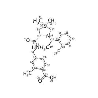 Cc1cc(CNC(=O)[C@@H]2C[Si](C)(C)CN2[C@H](C)c2ccccc2F)ccc1C(=O)O